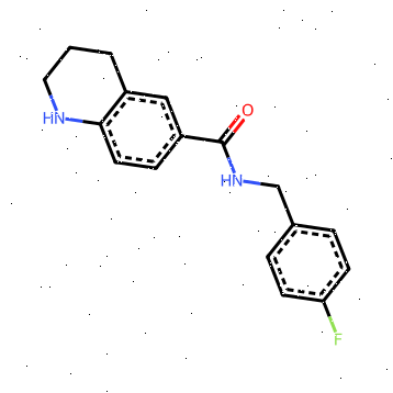 O=C(NCc1ccc(F)cc1)c1ccc2c(c1)CCCN2